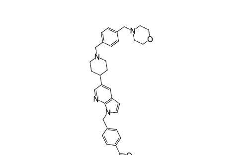 COC(=O)c1ccc(Cn2ccc3cc(C4CCN(Cc5ccc(CN6CCOCC6)cc5)CC4)cnc32)cc1